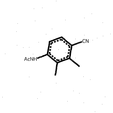 CC(=O)Nc1ccc(C#N)c(C)c1C